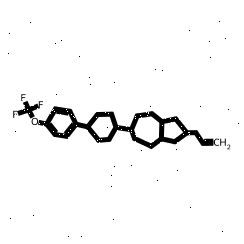 C=CCC1CC2CCC(C3CCC(c4ccc(OC(F)(F)F)cc4)CC3)CCC2C1